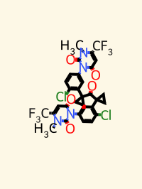 Cn1c(C(F)(F)F)cc(=O)n(-c2ccc(Cl)c(C3(C(=O)C4(c5cc(-n6c(=O)cc(C(F)(F)F)n(C)c6=O)ccc5Cl)CC4)CC3)c2)c1=O